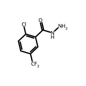 NNC(=O)c1cc(C(F)(F)F)ccc1Cl